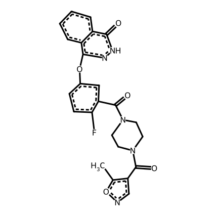 Cc1oncc1C(=O)N1CCN(C(=O)c2cc(Oc3n[nH]c(=O)c4ccccc34)ccc2F)CC1